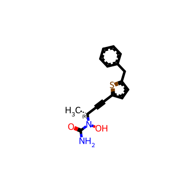 C[C@H](C#Cc1ccc(Cc2ccccc2)s1)N(O)C(N)=O